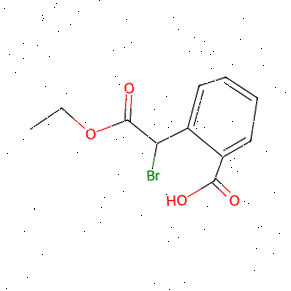 CCOC(=O)C(Br)c1ccccc1C(=O)O